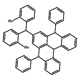 CC(C)(C)c1ccccc1N(c1cc2c3c(c1)N(c1ccccc1)c1ccccc1B3c1ccccc1N2c1ccccc1)c1ccccc1C(C)(C)C